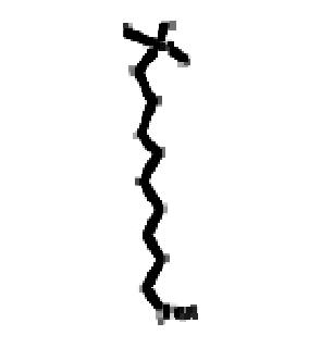 [CH2]CCCCCCCCCCCCCC[CH2][Ge]([CH3])([CH3])[CH3]